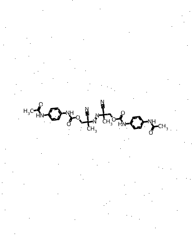 CC(=O)Nc1ccc(NC(=O)OCC(C)(C#N)N=NC(C)(C#N)COC(=O)Nc2ccc(NC(C)=O)cc2)cc1